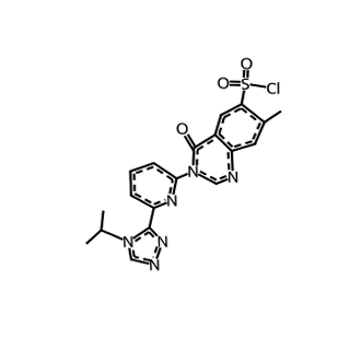 Cc1cc2ncn(-c3cccc(-c4nncn4C(C)C)n3)c(=O)c2cc1S(=O)(=O)Cl